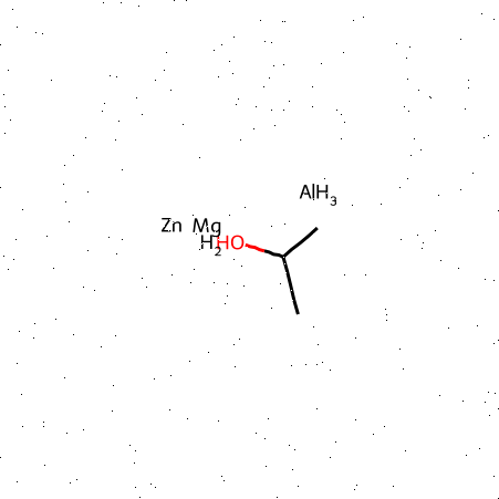 CC(C)O.[AlH3].[MgH2].[Zn]